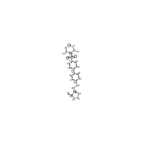 CC1COCC(C)N1S(=O)(=O)c1ccc(-c2ccc(CCN3CCC[C@H]3C)cc2)cc1